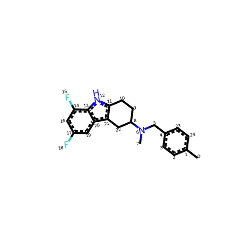 Cc1ccc(CN(C)C2CCc3[nH]c4c(F)cc(F)cc4c3C2)cc1